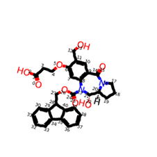 O=C(O)CCOc1cc2c(cc1CO)C(=O)N1CCC[C@H]1[C@H](O)N2C(=O)OCC1c2ccccc2-c2ccccc21